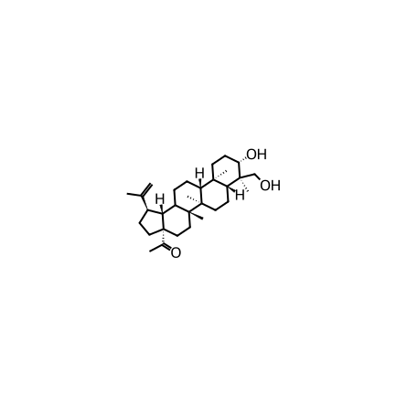 C=C(C)[C@@H]1CC[C@]2(C(C)=O)CC[C@]3(C)C(CC[C@@H]4[C@@]5(C)CC[C@H](O)[C@@](C)(CO)[C@@H]5CC[C@]43C)[C@@H]12